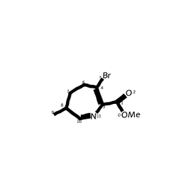 COC(=O)C1=C(Br)CCC(C)C=N1